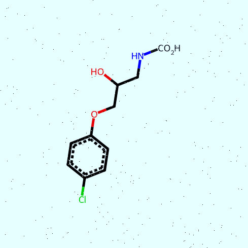 O=C(O)NCC(O)COc1ccc(Cl)cc1